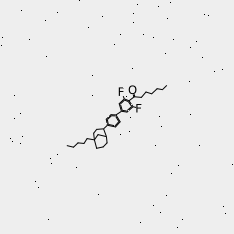 CCCCCCC(=O)c1c(F)cc(-c2ccc(C3CCC4(CCCCC)CCCC3C4)cc2)cc1F